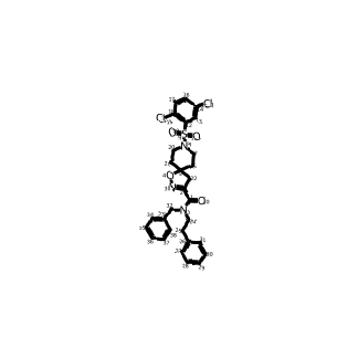 O=C(C1=NOC2(CCN(S(=O)(=O)c3cc(Cl)ccc3Cl)CC2)C1)N(CCc1ccccc1)Cc1ccccc1